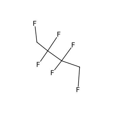 FCC(F)(F)C(F)(F)CF